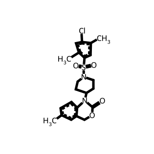 Cc1ccc2c(c1)COC(=O)N2C1CCN(S(=O)(=O)c2cc(C)c(Cl)cc2C)CC1